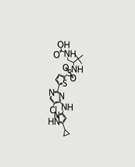 CC(C)(C)C(CNC(=O)O)NS(=O)(=O)c1ccc(-c2ncc(Cl)c(Nc3cc(C4CC4)[nH]n3)n2)s1